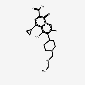 CCNCN1CCC(c2c(F)cn3c(=O)c(C(=O)O)cc(C4CC4)c3c2C)CC1